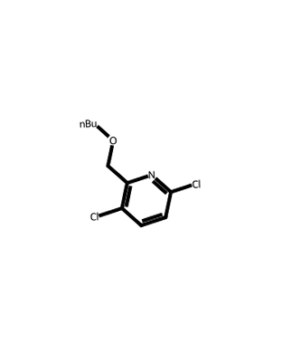 CCCCOCc1nc(Cl)ccc1Cl